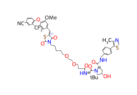 COc1cc(/C=C2\SC(=O)N(CCCCCOCCOCCC(=O)N[C@H](C(=O)N3CC(O)C[C@H]3C(=O)NCc3ccc(-c4scnc4C)cc3)C(C)(C)C)C2=O)ccc1Oc1ccc(C#N)cc1C(F)(F)F